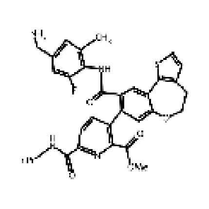 CCCNC(=O)c1ccc(-c2cc3c(cc2C(=O)Nc2c(C)cc(CN)cc2F)-c2sccc2CCO3)c(C(=O)OC)n1